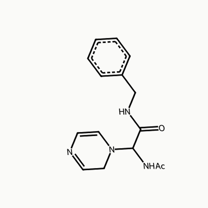 CC(=O)NC(C(=O)NCc1ccccc1)N1C=CN=CC1